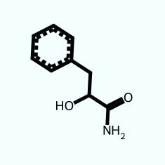 NC(=O)C(O)Cc1ccccc1